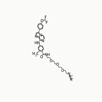 Cc1cc(Nc2nccn3c(-c4ccc(OC(F)F)cc4)cnc23)ccc1C(=O)NCCOCCOCCOCCN=[N+]=[N-]